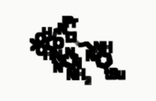 CC(C)N(C[C@H]1O[C@@H](n2cnc3c(N)ncnc32)[C@@H]2OC(C)(C)O[C@@H]21)[C@H]1C[C@@H](CCc2nc3cc(C(C)(C)C)ccc3[nH]2)C1